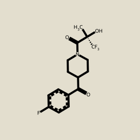 C[C@@](O)(C(=O)N1CCC(C(=O)c2ccc(F)cc2)CC1)C(F)(F)F